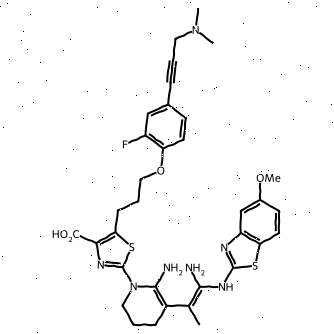 COc1ccc2sc(N/C(N)=C(\C)C3=C(N)N(c4nc(C(=O)O)c(CCCOc5ccc(C#CCN(C)C)cc5F)s4)CCC3)nc2c1